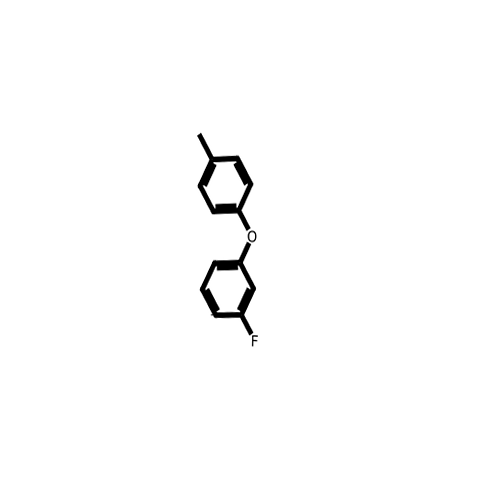 Cc1ccc(Oc2cc[c]c(F)c2)cc1